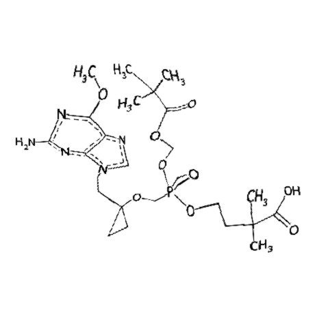 COc1nc(N)nc2c1ncn2CC1(OCP(=O)(OCCC(C)(C)C(=O)O)OCOC(=O)C(C)(C)C)CC1